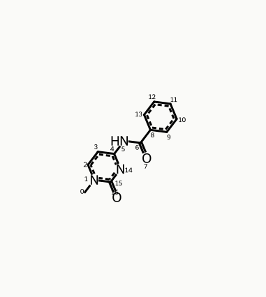 Cn1ccc(NC(=O)c2ccccc2)nc1=O